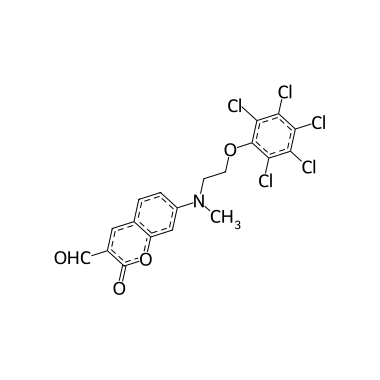 CN(CCOc1c(Cl)c(Cl)c(Cl)c(Cl)c1Cl)c1ccc2cc(C=O)c(=O)oc2c1